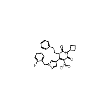 O=c1c([N+](=O)[O-])c(-c2cnn(Cc3ccccc3F)c2)n(CCc2ccccc2)c(=O)n1C1CCC1